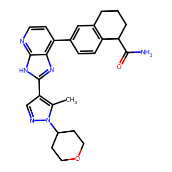 Cc1c(-c2nc3c(-c4ccc5c(c4)CCCC5C(N)=O)ccnc3[nH]2)cnn1C1CCOCC1